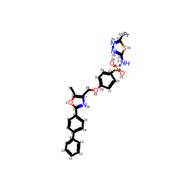 Cc1oc(-c2ccc(-c3ccccc3)cc2)nc1COc1ccc(S(=O)(=O)Nc2nnc(C(C)C)s2)cc1